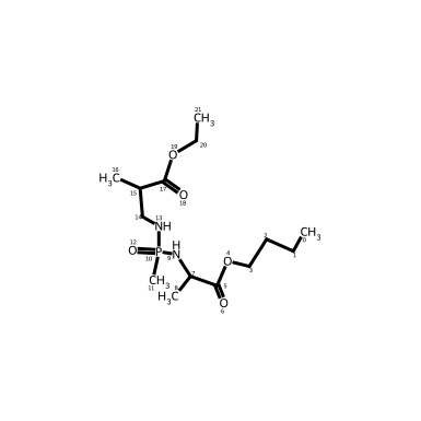 CCCCOC(=O)C(C)NP(C)(=O)NCC(C)C(=O)OCC